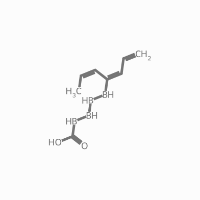 C=C/C=C(BBBBC(=O)O)\C=C/C